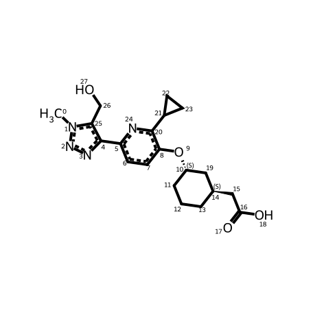 Cn1nnc(-c2ccc(O[C@H]3CCC[C@H](CC(=O)O)C3)c(C3CC3)n2)c1CO